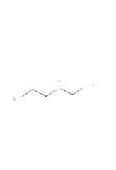 CC(C)CCNCC=O